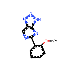 CCCOc1ccccc1-c1ncc2nn[nH]c2n1